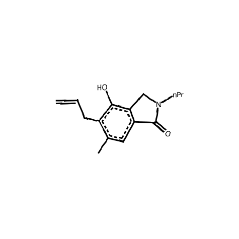 C=CCc1c(C)cc2c(c1O)CN(CCC)C2=O